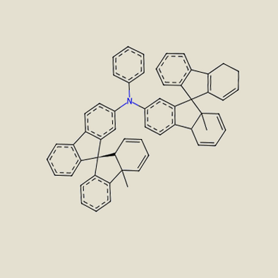 CC12C=CC=CC1[C@]1(c3ccccc3-c3ccc(N(c4ccccc4)c4ccc5c(c4)C4(C6=C(CCC=C6)c6ccccc64)C4(C)C=CC=CC54)cc31)c1ccccc12